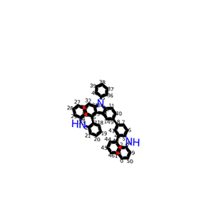 c1ccc(Nc2ccc(-c3ccc4c(c3)c3c(-c5ccccc5Nc5ccccc5)cccc3n4-c3ccccc3)cc2-c2ccccc2)cc1